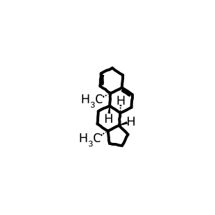 C[C@@]12CCC[C@H]1[C@@H]1CC=C3CCC=C[C@]3(C)[C@H]1CC2